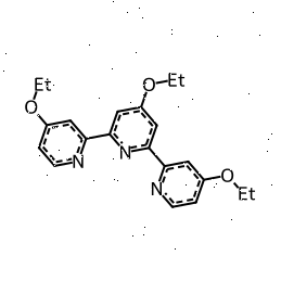 CCOc1ccnc(-c2cc(OCC)cc(-c3cc(OCC)ccn3)n2)c1